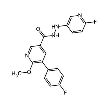 COc1ncc(C(=O)NNc2ccc(F)nc2)cc1-c1ccc(F)cc1